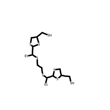 CCC(SCCSC(CC)C1SCC(CS)S1)C1SCC(CS)S1